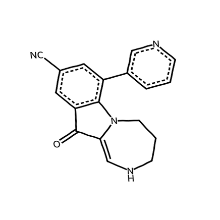 N#Cc1cc2c(c(-c3cccnc3)c1)N1CCCNC=C1C2=O